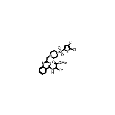 COC(=O)C(Nc1nc(CN2CCN(S(=O)(=O)c3cc(Cl)c(Cl)s3)CC2)nc2ccccc12)C(C)C